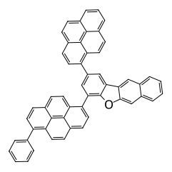 c1ccc(-c2ccc3ccc4c(-c5cc(-c6ccc7ccc8cccc9ccc6c7c89)cc6c5oc5cc7ccccc7cc56)ccc5ccc2c3c54)cc1